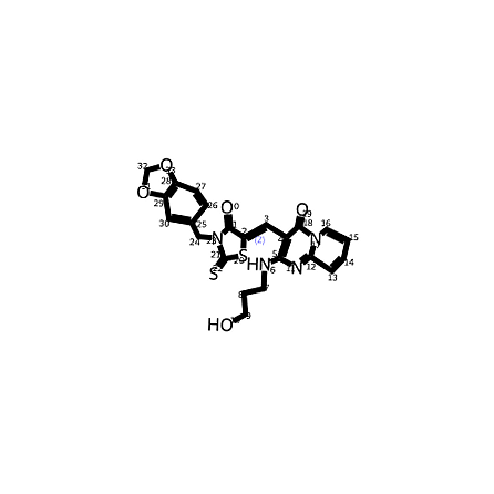 O=C1/C(=C/c2c(NCCCO)nc3ccccn3c2=O)SC(=S)N1Cc1ccc2c(c1)OCO2